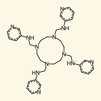 c1cncc(NCN2CCN(CNc3cccnc3)CCN(CNc3cccnc3)CCN(CNc3cccnc3)CC2)c1